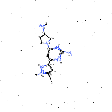 CN[C@@H]1CCN(c2cc(-c3cc(C)n(C)n3)nc(N)n2)C1